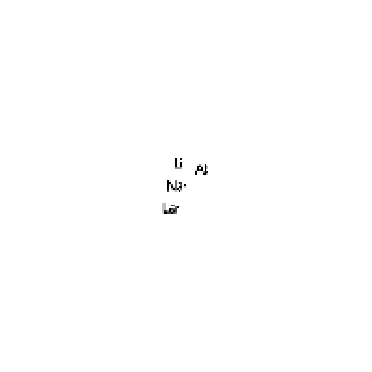 [Al].[La].[Li].[Na]